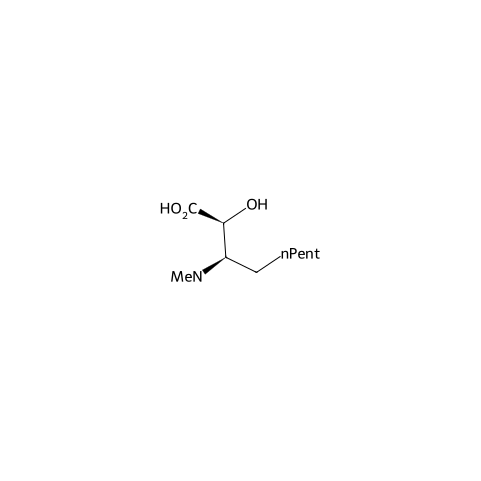 CCCCCC[C@@H](NC)[C@H](O)C(=O)O